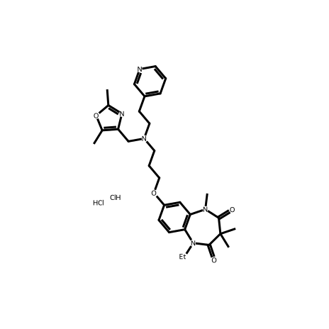 CCN1C(=O)C(C)(C)C(=O)N(C)c2cc(OCCCN(CCc3cccnc3)Cc3nc(C)oc3C)ccc21.Cl.Cl